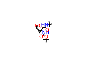 C=CC1CC1(NC(=O)OC(C)(C)C)C(O)C(=O)NC(C)(C)C